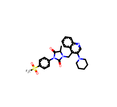 CC1C(=O)N(c2ccc(S(=O)(=O)C(F)(F)F)cc2)C(=O)N1Cc1c(N2CCCCC2)cnc2ccccc12